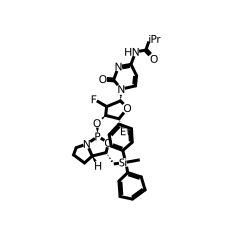 CC[C@H]1O[C@@H](n2ccc(NC(=O)C(C)C)nc2=O)C(F)[C@H]1O[P@@]1O[C@H](C[Si](C)(c2ccccc2)c2ccccc2)[C@@H]2CCCN21